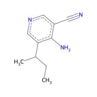 CCC(C)c1cncc(C#N)c1N